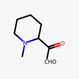 CN1CCCCC1C(=O)C=O